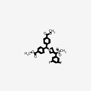 COC(=O)c1ccc(C(c2ccc(C(=O)OC)cc2)N2CC(=C(c3cc(F)cc(F)c3)S(C)(=O)=O)C2)cc1